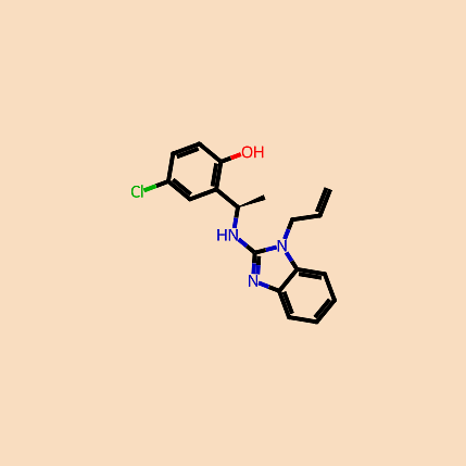 C=CCn1c(N[C@H](C)c2cc(Cl)ccc2O)nc2ccccc21